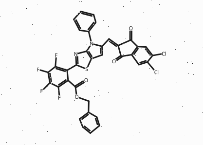 O=C1C(=Cc2cc3sc(-c4c(F)c(F)c(F)c(F)c4C(=O)OCc4ccccc4)nc3n2-c2ccccc2)C(=O)c2cc(Cl)c(Cl)cc21